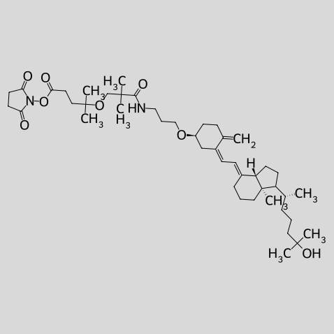 C=C1CC[C@H](OCCCNC(=O)C(C)(C)COC(C)(C)CCC(=O)ON2C(=O)CCC2=O)C/C1=C/C=C1\CCC[C@]2(C)C([C@H](C)CCCC(C)(C)O)CC[C@@H]12